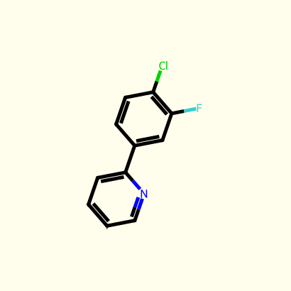 Fc1cc(-c2cc[c]cn2)ccc1Cl